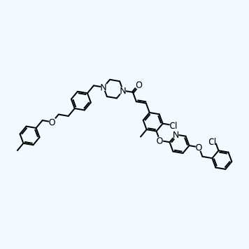 Cc1ccc(COCCc2ccc(CN3CCN(C(=O)C=Cc4cc(C)c(Oc5ccc(OCc6ccccc6Cl)cn5)c(Cl)c4)CC3)cc2)cc1